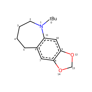 CC(C)(C)N1CCCCc2cc3c(cc21)OCO3